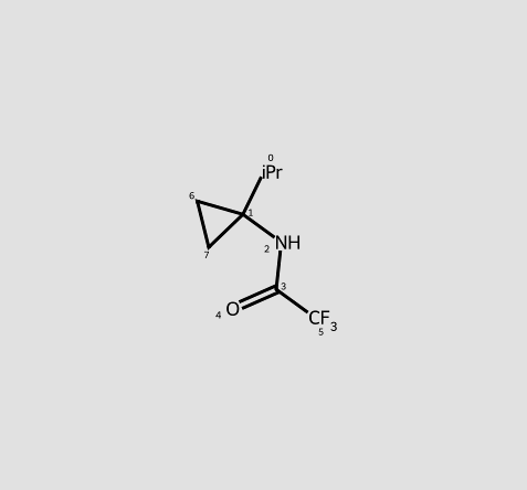 CC(C)C1(NC(=O)C(F)(F)F)CC1